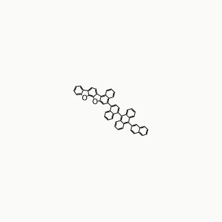 c1ccc2cc(-c3c4ccccc4c(-c4ccc(-c5cc6oc7c(ccc8c9ccccc9oc87)c6c6ccccc56)c5ccccc45)c4ccccc34)ccc2c1